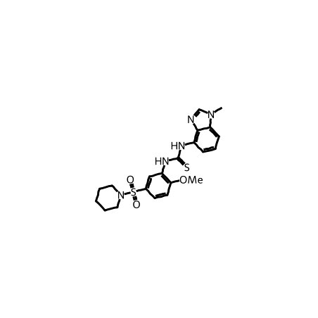 COc1ccc(S(=O)(=O)N2CCCCC2)cc1NC(=S)Nc1cccc2c1ncn2C